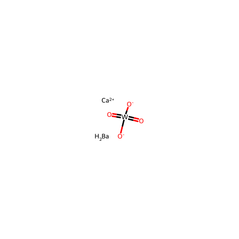 [BaH2].[Ca+2].[O]=[W](=[O])([O-])[O-]